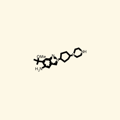 COC(C)(C)c1cc2nn(C3CCC(N4CCNCC4)CC3)cc2cc1N